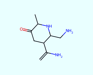 C=C(N)C1CC(=O)C(C)NC1CN